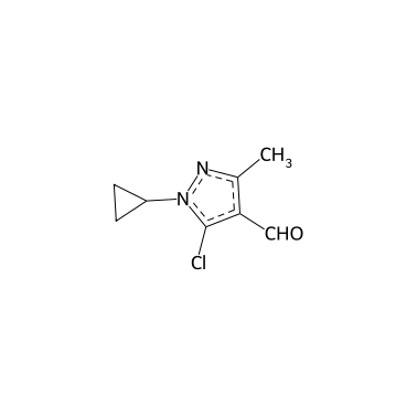 Cc1nn(C2CC2)c(Cl)c1C=O